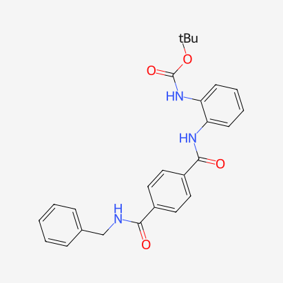 CC(C)(C)OC(=O)Nc1ccccc1NC(=O)c1ccc(C(=O)NCc2ccccc2)cc1